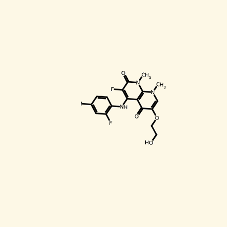 Cn1cc(OCCO)c(=O)c2c(Nc3ccc(I)cc3F)c(F)c(=O)n(C)c21